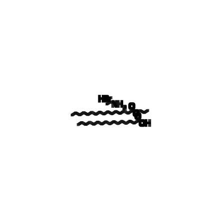 Br.CCCCCCCCCCCCCCCC(=O)O.CCCCCCCCCCCCCCCC(=O)OCCC.CCN